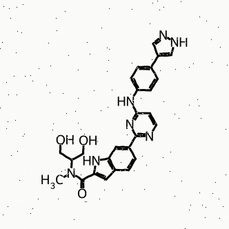 CN(C(=O)c1cc2ccc(-c3nccc(Nc4ccc(-c5cn[nH]c5)cc4)n3)cc2[nH]1)C(CO)CO